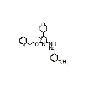 Cc1cccc(/C=N/Nc2cc(C3CCOCC3)nc(OCCc3ccccn3)n2)c1